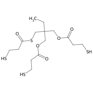 CCC(COC(=O)CCS)(COC(=O)CCS)CSC(=O)CCS